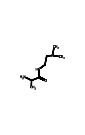 CC(N)C(=O)NCCN(C)C